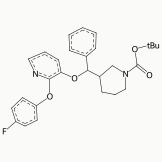 CC(C)(C)OC(=O)N1CCCC(C(Oc2cccnc2Oc2ccc(F)cc2)c2ccccc2)C1